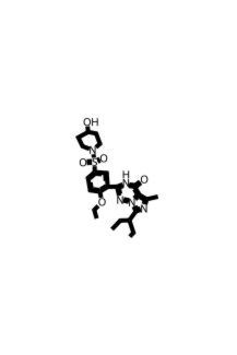 CCOc1ccc(S(=O)(=O)N2CCC(O)CC2)cc1-c1nn2c(C(CC)CC)nc(C)c2c(=O)[nH]1